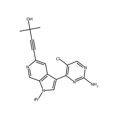 CC(C)n1cc(-c2nc(N)ncc2Cl)c2cc(C#CC(C)(C)O)ncc21